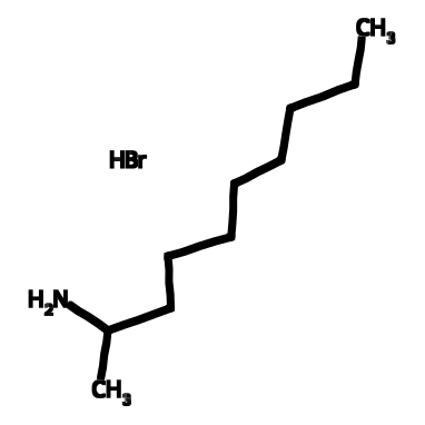 Br.CCCCCCCCC(C)N